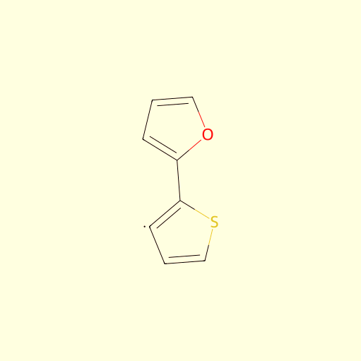 [c]1ccsc1-c1ccco1